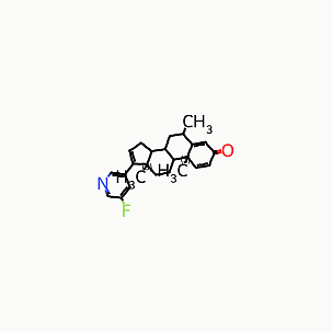 CC1CC2C(CC[C@]3(C)C(c4cncc(F)c4)=CCC23)[C@@]2(C)C=CC(=O)C=C12